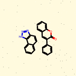 O=c1oc2ccccc2cc1-c1ccccc1.c1ccc2c(c1)ccc1nn[nH]c12